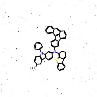 CC1C=Cc2c(c3ccc(N(C4=c5sc6ccccc6c5=CCC4)c4ccc5c(c4)-c4cccc6cc7ccccc7c-5c46)cc3n2-c2ccccc2)C1